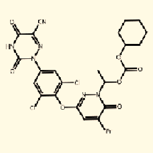 CC(C)c1cc(Oc2c(Cl)cc(-n3nc(C#N)c(=O)[nH]c3=O)cc2Cl)nn(C(C)OC(=O)OC2CCCCC2)c1=O